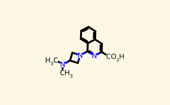 CN(C)C1CN(c2nc(C(=O)O)cc3ccccc23)C1